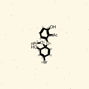 CCCOC1(Oc2cccc(O)c2C(C)=O)C=CC(Br)=CC1O